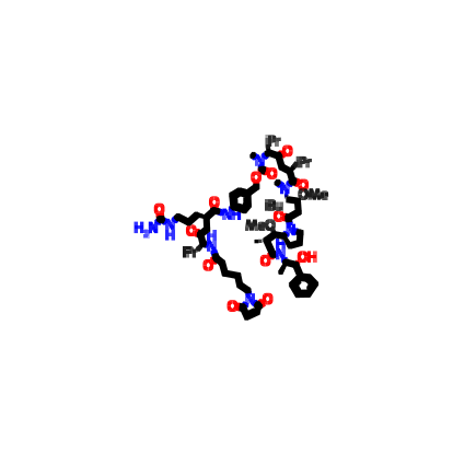 CC[C@H](C)[C@@H]([C@@H](CC(=O)N1CCC[C@H]1[C@H](OC)[C@@H](C)C(=O)N[C@H](C)[C@@H](O)c1ccccc1)OC)N(C)C(=O)[C@@H](CC(=O)[C@H](C(C)C)N(C)C(=O)OCc1ccc(NC(=O)[C@H](CCCNC(N)=O)CC(=O)[C@@H](NC(=O)CCCCCN2C(=O)C=CC2=O)C(C)C)cc1)C(C)C